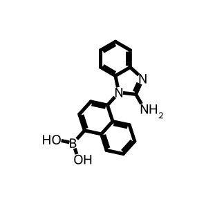 Nc1nc2ccccc2n1-c1ccc(B(O)O)c2ccccc12